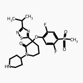 CC(C)c1nsc(C2(Oc3cc(F)c(S(C)(=O)=O)cc3F)CCCN(C3CCNCC3)C2=O)n1